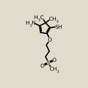 CC1(C)C(N)=CC(OCCCS(C)(=O)=O)=C1S